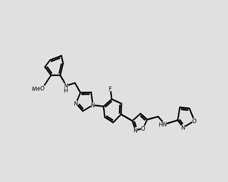 COc1ccccc1NCc1cn(-c2ccc(-c3cc(CNc4ccon4)on3)cc2F)cn1